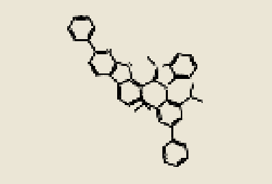 Cc1ccc2c(oc3nc(-c4ccccc4)ccc32)c1-c1n(-c2c(C(C)C)cc(-c3ccccc3)cc2C(C)C)c2ccccc2[n+]1C